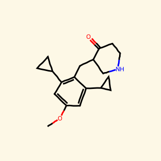 COc1cc(C2CC2)c(CC2CNCCC2=O)c(C2CC2)c1